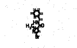 Cn1nc(Br)cc1C(=O)NCc1ccccc1